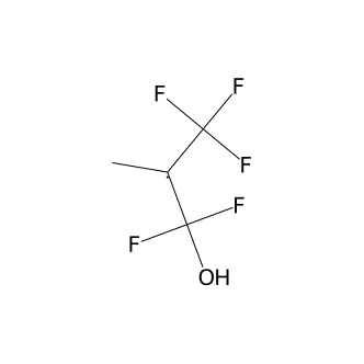 C[C](C(O)(F)F)C(F)(F)F